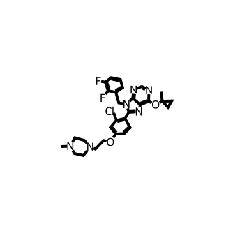 CN1CCN(CCOc2ccc(-c3nc4c(OC5(C)CC5)ncnc4n3Cc3cccc(F)c3F)c(Cl)c2)CC1